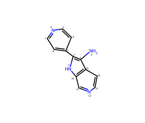 Nc1c(-c2ccncc2)[nH]c2cnccc12